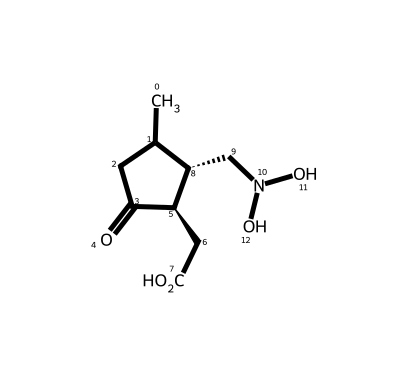 CC1CC(=O)[C@H](CC(=O)O)[C@H]1CN(O)O